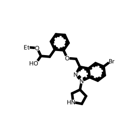 CCOC(O)Cc1ccccc1OCc1nn(C2CCNC2)c2ccc(Br)cc12